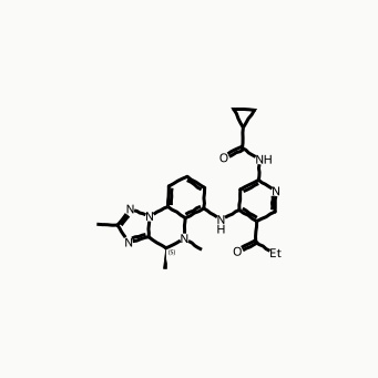 CCC(=O)c1cnc(NC(=O)C2CC2)cc1Nc1cccc2c1N(C)[C@@H](C)c1nc(C)nn1-2